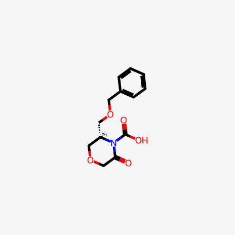 O=C(O)N1C(=O)COC[C@@H]1COCc1ccccc1